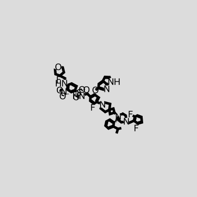 CC(C)c1ccccc1[C@@H]1CN(Cc2c(F)cccc2F)CCN1C1CC2(CCN(c3cc(Oc4cnc5[nH]ccc5c4)c(C(=O)NS(=O)(=O)c4ccc(NCC5(F)CCOCC5)c([N+](=O)[O-])c4)cc3F)CC2)C1